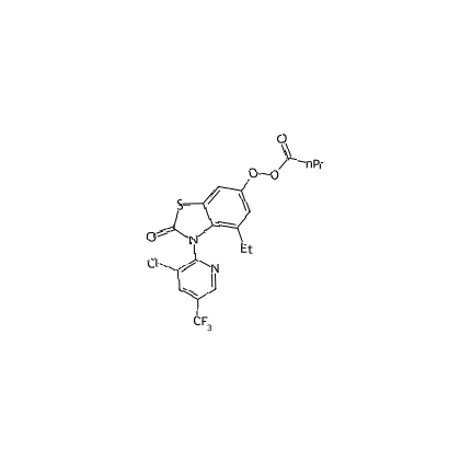 CCCC(=O)OOc1cc(CC)c2c(c1)sc(=O)n2-c1ncc(C(F)(F)F)cc1Cl